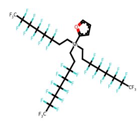 FC(F)(F)C(F)(F)C(F)(F)C(F)(F)C(F)(F)C(F)(F)C[CH2][Sn]([CH2]CC(F)(F)C(F)(F)C(F)(F)C(F)(F)C(F)(F)C(F)(F)F)([CH2]CC(F)(F)C(F)(F)C(F)(F)C(F)(F)C(F)(F)C(F)(F)F)[c]1ccco1